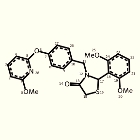 COc1cccc(Oc2ccc(CN3C(=O)CSC3c3c(OC)cccc3OC)cc2)n1